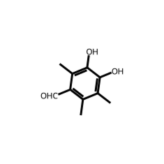 Cc1c(C)c(C=O)c(C)c(O)c1O